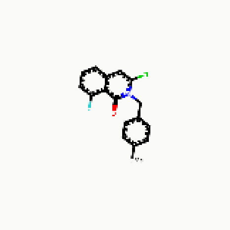 COc1ccc(Cn2c(Cl)cc3cccc(F)c3c2=O)cc1